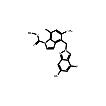 COc1cc(C)c2c(ccn2C(=O)OC(C)(C)C)c1Cn1cc2c(F)cc(C#N)cc2n1